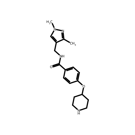 Cc1nn(C)cc1CNC(=O)c1ccc(OC2CCNCC2)cc1